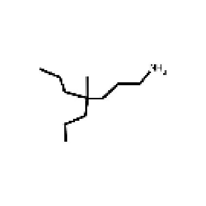 CCCC(C)(CCC)CCCN